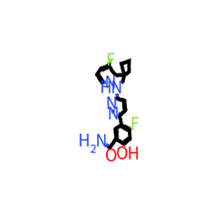 NC(=O)c1cc(-c2ccc(NCC3(c4ncccc4F)CCC3)nn2)c(F)cc1O